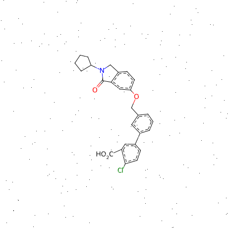 O=C(O)c1cc(-c2cccc(COc3ccc4c(c3)C(=O)N(C3CCCC3)C4)c2)ccc1Cl